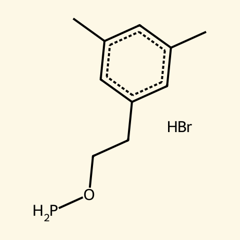 Br.Cc1cc(C)cc(CCOP)c1